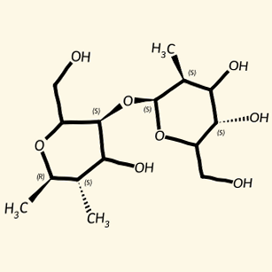 C[C@H]1OC(CO)[C@@H](O[C@@H]2OC(CO)[C@@H](O)C(O)[C@@H]2C)C(O)[C@@H]1C